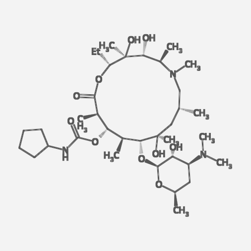 CC[C@H]1OC(=O)[C@H](C)[C@@H](OC(=O)NC2CCCC2)[C@H](C)[C@@H](O[C@@H]2O[C@H](C)C[C@H](N(C)C)[C@H]2O)[C@](C)(O)C[C@@H](C)CN(C)[C@H](C)[C@@H](O)[C@]1(C)O